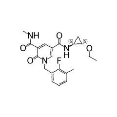 CCO[C@H]1C[C@@H]1NC(=O)c1cc(C(=O)NC)c(=O)n(Cc2cccc(C)c2F)c1